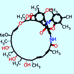 CO[C@H]1/C=C/O[C@@]2(C)Oc3c(C)c(O)c4c(=O)c(c5oc6c(C)c(C)cc(C)c6nc-5c4c3C2=O)NC(=O)/C(C)=C\C=C\[C@H](C)[C@H](O)[C@@H](C)[C@@H](O)[C@@H](C)[C@H](O)[C@@H]1C